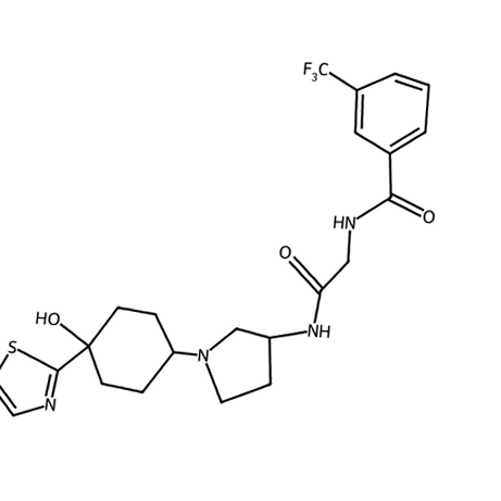 O=C(CNC(=O)c1cccc(C(F)(F)F)c1)NC1CCN(C2CCC(O)(c3nccs3)CC2)C1